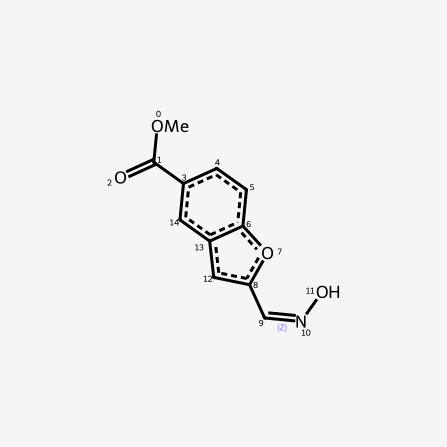 COC(=O)c1ccc2oc(/C=N\O)cc2c1